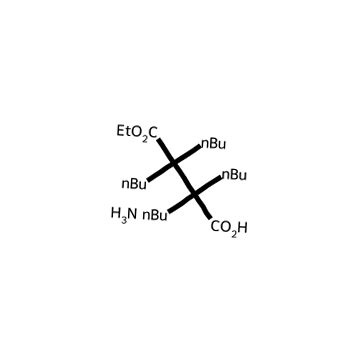 CCCCC(CCCC)(C(=O)O)C(CCCC)(CCCC)C(=O)OCC.N